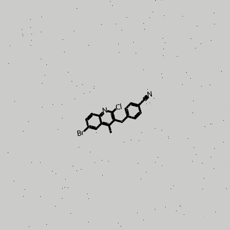 Cc1c(Cc2ccc(C#N)cc2)c(Cl)nc2ccc(Br)cc12